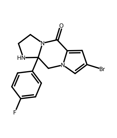 O=C1c2cc(Br)cn2CC2(c3ccc(F)cc3)NCCN12